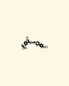 O=C(O)Oc1ccc2[nH]cc(CSCCN3CCC(c4ccc(O)cc4)CC3)c2c1